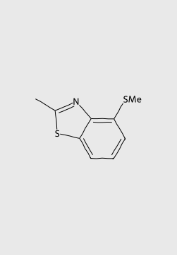 CSc1cccc2sc(C)nc12